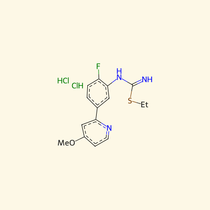 CCSC(=N)Nc1cc(-c2cc(OC)ccn2)ccc1F.Cl.Cl